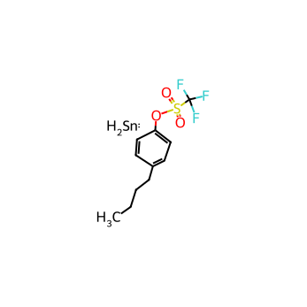 CCCCc1ccc(OS(=O)(=O)C(F)(F)F)cc1.[SnH2]